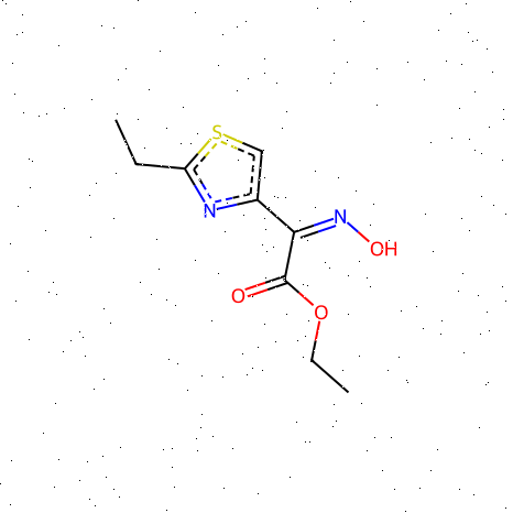 CCOC(=O)C(=NO)c1csc(CC)n1